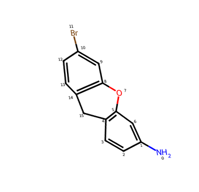 Nc1ccc2c(c1)Oc1cc(Br)ccc1C2